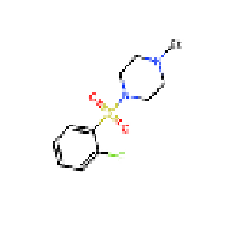 CCN1CCN(S(=O)(=O)c2ccccc2F)CC1